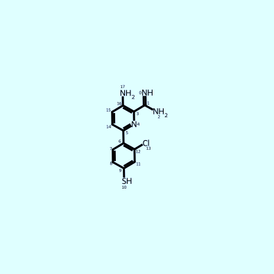 N=C(N)c1nc(-c2ccc(S)cc2Cl)ccc1N